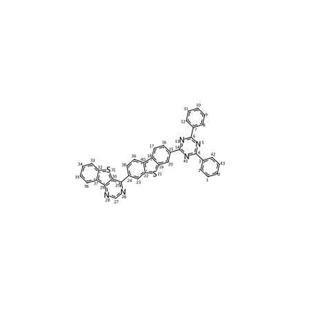 c1ccc(-c2nc(-c3ccccc3)nc(-c3ccc4c(c3)sc3cc(-c5ncnc6c5sc5ccccc56)ccc34)n2)cc1